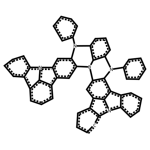 c1ccc(N2c3cc4c(cc3B3c5cc6c7ccccc7n7c8ccccc8c(c5N(c5ccccc5)c5cccc2c53)c67)c2cccc3c5ccccc5n4c32)cc1